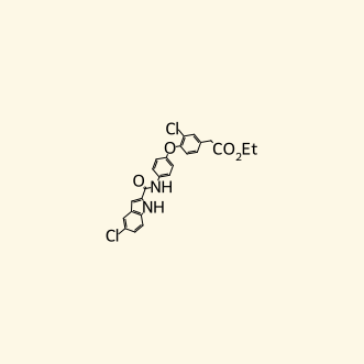 CCOC(=O)Cc1ccc(Oc2ccc(NC(=O)c3cc4cc(Cl)ccc4[nH]3)cc2)c(Cl)c1